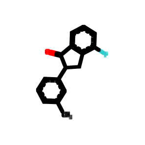 Cc1cccc(C2Cc3c(F)cccc3C2=O)c1